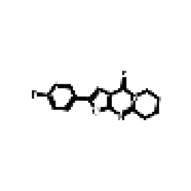 Fc1ccc(-c2cc3c(=S)n4c(nc3o2)CCCC4)cc1